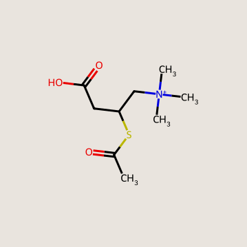 CC(=O)SC(CC(=O)O)C[N+](C)(C)C